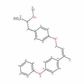 CCOC(=O)C(Cc1ccc(OCC=C(C)c2ccc(Oc3ccccc3)cc2)cc1)OCC